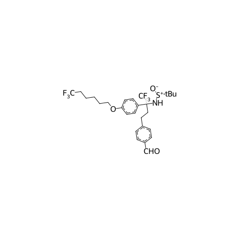 CC(C)(C)[S@+]([O-])N[C@@](CCc1ccc(C=O)cc1)(c1ccc(OCCCCCC(F)(F)F)cc1)C(F)(F)F